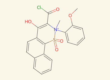 COc1ccccc1[N+]1(C)C(C(=O)Cl)=C(O)c2ccc3ccccc3c2S1(=O)=O